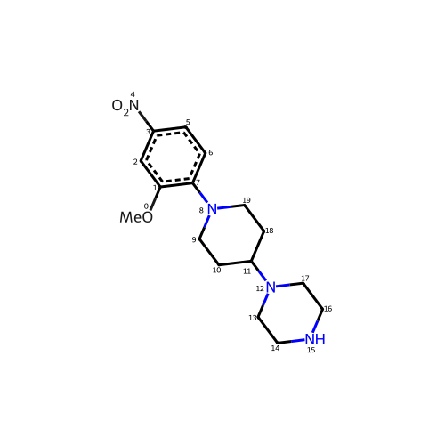 COc1cc([N+](=O)[O-])ccc1N1CCC(N2CCNCC2)CC1